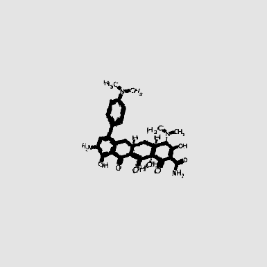 CN(C)c1ccc(-c2cc(N)c(O)c3c2C[C@H]2C[C@H]4[C@H](N(C)C)C(O)=C(C(N)=O)C(=O)[C@@]4(O)C(O)=C2C3=O)cc1